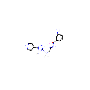 CN(Cc1noc(-c2cccc(N)c2)n1)c1nnc(-c2ccncc2)n1C